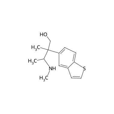 CNC(C)C(C)(CO)c1ccc2sccc2c1